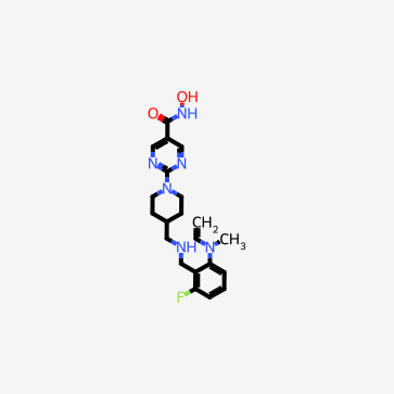 C=CN(C)c1cccc(F)c1CNCC1CCN(c2ncc(C(=O)NO)cn2)CC1